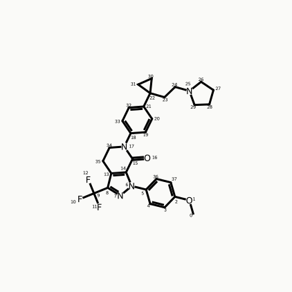 COc1ccc(-n2nc(C(F)(F)F)c3c2C(=O)N(c2ccc(C4(CCN5CCCC5)CC4)cc2)CC3)cc1